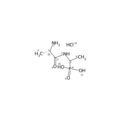 CC(NC(=O)[C@H](C)N)P(=O)(O)O.Cl